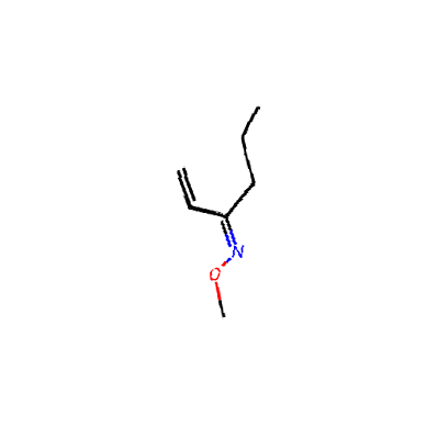 C=C/C(CCC)=N\OC